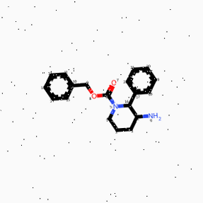 NC1CCCN(C(=O)OCc2ccccc2)C1c1ccccc1